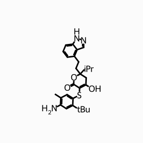 Cc1cc(SC2=C(O)CC(CCc3cccc4[nH]ncc34)(C(C)C)OC2=O)c(C(C)(C)C)cc1N